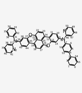 c1ccc(-c2ccc(N(c3ccc4c(c3)Oc3ccc5c6c(ccc-4c36)Oc3cc(N(c4ccccc4)c4ccccn4)ccc3-5)c3ccccn3)cc2)cc1